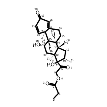 CCC(=O)OCC(=O)[C@@]1(O)[C@@H](C)C[C@H]2[C@@H]3CCC4=CC(=O)C=C[C@]4(C)[C@@]3(F)[C@@H](O)C[C@@]21C